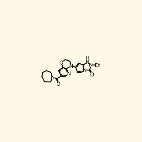 CCN1NC2C=C(N3CCOc4cc(C(=O)N5CCCCCC5)cnc43)C=CN2C1=O